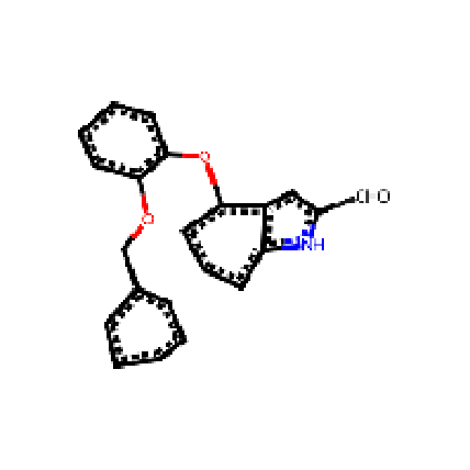 O=Cc1cc2c(Oc3ccccc3OCc3ccccc3)cccc2[nH]1